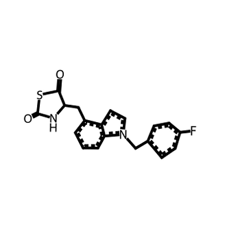 O=C1NC(Cc2cccc3c2ccn3Cc2ccc(F)cc2)C(=O)S1